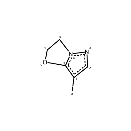 Ic1cnn2c1OCC2